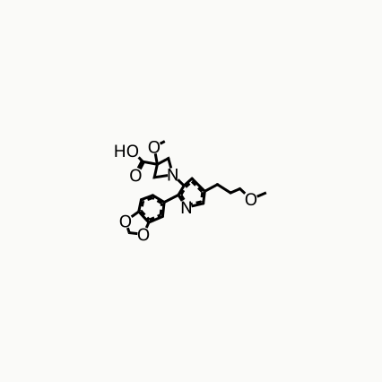 COCCCc1cnc(-c2ccc3c(c2)OCO3)c(N2CC(OC)(C(=O)O)C2)c1